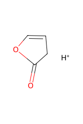 O=C1CC=CO1.[H+]